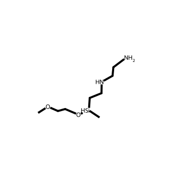 COCCO[SiH](C)CCNCCN